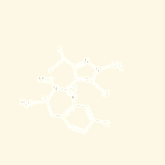 CON(C(=O)c1c(C(F)F)nn(C)c1Cl)[C@@H](C)Cc1ccc(Cl)cc1Cl